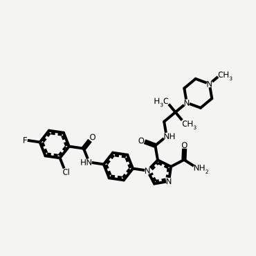 CN1CCN(C(C)(C)CNC(=O)c2c(C(N)=O)ncn2-c2ccc(NC(=O)c3ccc(F)cc3Cl)cc2)CC1